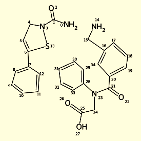 NC(=O)N1CC=C(c2ccccc2)S1.NCc1cccc(C(=O)N(CC(=O)O)c2ccccc2)c1